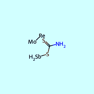 NC(=S)[S][SbH2].[Mo][Re]